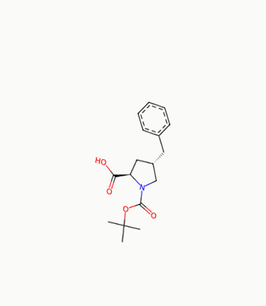 CC(C)(C)OC(=O)N1C[C@@H](Cc2ccccc2)C[C@@H]1C(=O)O